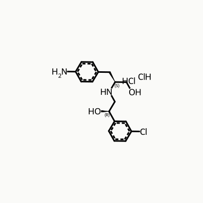 Cl.Cl.Nc1ccc(C[C@@H](CO)NC[C@H](O)c2cccc(Cl)c2)cc1